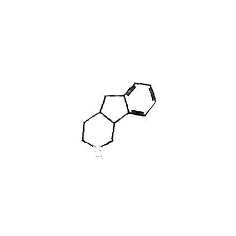 c1ccc2c(c1)CC1CCNCC21